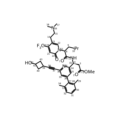 COC(=O)C[C@H](NC(=O)C(CC(C)C)n1cc(CCN(C)C)c(C(F)(F)F)cc1=O)c1cc(-c2c(C)cccc2C)cc(C#CC2CC(O)C2)n1